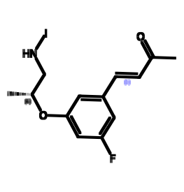 CC(=O)/C=C/c1cc(F)cc(O[C@H](C)CNI)c1